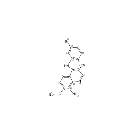 CCOc1ccc2c(Nc3cccc(Br)c3)c(C#N)cnc2c1N